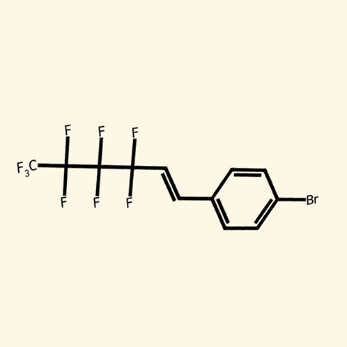 FC(F)(F)C(F)(F)C(F)(F)C(F)(F)/C=C/c1ccc(Br)cc1